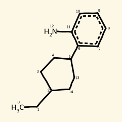 CCC1CCC(c2ccccc2N)CC1